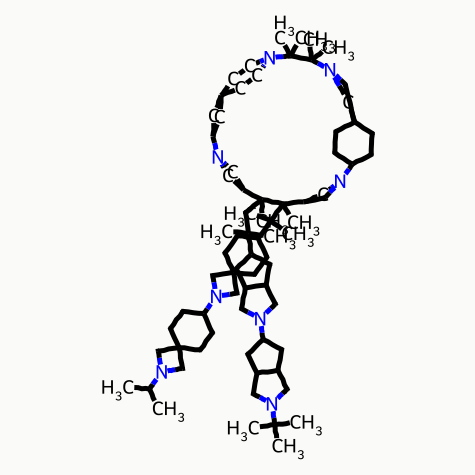 CC(C)N1CC2(CCC(N3CC4(CCC(C(C)(C)C5(C)C6CN(C6)C6CCC7(CC6)CN(C7)C(C)(C)C(C)(C)N6CCC7(CC6)CC(C7)N6CC(C6)C5(C)CC(C)(C)C5CC6CN(C7CC8CN(C(C)(C)C)CC8C7)CC6C5)CC4)C3)CC2)C1